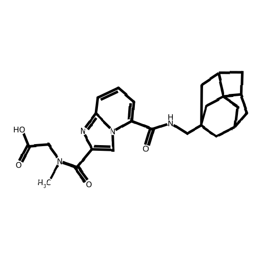 CN(CC(=O)O)C(=O)c1cn2c(C(=O)NCC34CC5CC6CC(C3)C6(C5)C4)cccc2n1